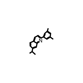 Cc1cc(C)cc(-c2ccc3ccc(C(C)C)cc3n2)c1